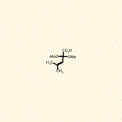 COC(C=C(C)C)(OC)C(=O)O